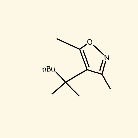 CCCCC(C)(C)c1c(C)noc1C